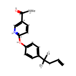 C=CCC(CC)(CC)c1ccc(Oc2ccc(C(=O)NC)cn2)cc1